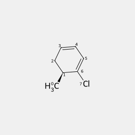 C[C@H]1CC=CC=C1Cl